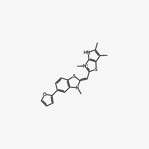 Cc1[nH]c2c(sc(/C=C3\Sc4ccc(-c5ccco5)cc4N3C)[n+]2C)c1C